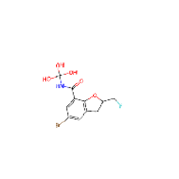 O=C(NC(O)(O)O)c1cc(Br)cc2c1OC(CF)C2